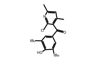 Cc1cc(C)c(C(=O)c2cc(C(C)(C)C)c(O)c(C(C)(C)C)c2)c(Cl)n1